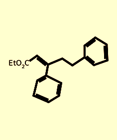 CCOC(=O)C=C(CCc1ccccc1)c1ccccc1